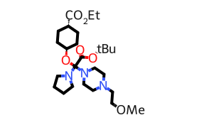 CCOC(=O)[C@H]1CC[C@H](OC(C(=O)OC(C)(C)C)(N2CCCC2)N2CCN(CCOC)CC2)CC1